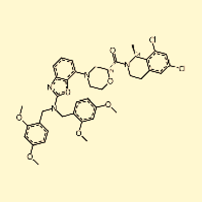 COc1ccc(CN(Cc2ccc(OC)cc2OC)c2nc3cccc(N4CCO[C@@H](C(=O)N5CCc6cc(Cl)cc(Cl)c6[C@@H]5C)C4)c3o2)c(OC)c1